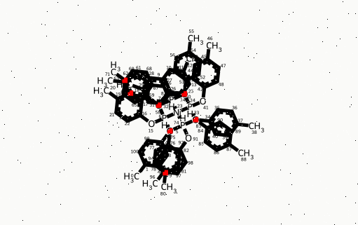 Cc1ccc(O[PH](Oc2ccc(C)cc2)(Oc2ccc(C)cc2)[Ni]([PH](Oc2ccc(C)cc2)(Oc2ccc(C)cc2)Oc2ccc(C)cc2)([PH](Oc2ccc(C)cc2)(Oc2ccc(C)cc2)Oc2ccc(C)cc2)[PH](Oc2ccc(C)cc2)(Oc2ccc(C)cc2)Oc2ccc(C)cc2)cc1